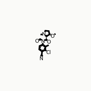 CO[C@@H]1CCN(C)[C@@H]1C(=O)N(C=O)c1ccc(C#N)c(Cl)c1C